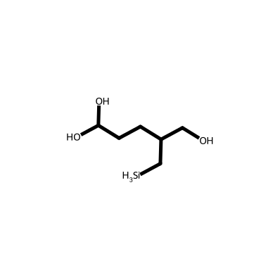 OCC(C[SiH3])CCC(O)O